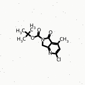 Cc1cc(Cl)nc2c1C(=O)N(C(=O)OC(C)(C)C)C2